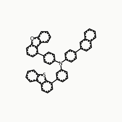 c1cc(-c2cccc3c2sc2ccccc23)cc(N(c2ccc(-c3ccc4ccccc4c3)cc2)c2ccc(-c3cccc4oc5ccccc5c34)cc2)c1